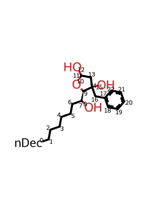 CCCCCCCCCCCCCCCCC(O)[C@H]1OC(O)C[C@]1(O)Cc1ccccc1